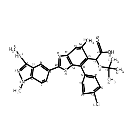 CNc1nn(C)c2ccc(-c3nc4cc(C)c(C(OC(C)(C)C)C(=O)O)c(-c5ccc(Cl)cc5)c4s3)cc12